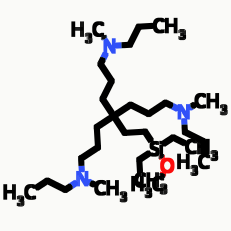 CCCN(C)CCCC(CCCN(C)CCC)(CCCN(C)CCC)CC[Si](CC)(CC)OC